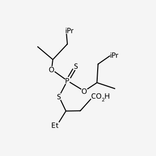 CCC(CC(=O)O)SP(=S)(OC(C)CC(C)C)OC(C)CC(C)C